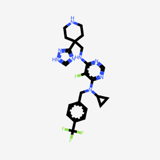 Fc1c(NCC2(c3nc[nH]n3)CCNCC2)ncnc1N(Cc1ccc(C(F)(F)F)cc1)C1CC1